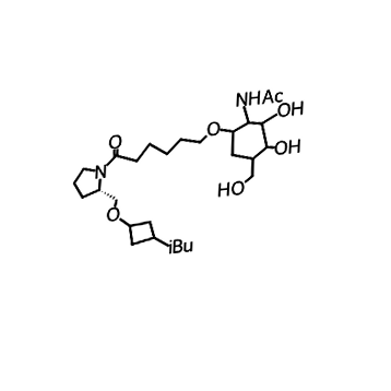 CCC(C)C1CC(OC[C@@H]2CCCN2C(=O)CCCCCOC2CC(CO)C(O)C(O)C2NC(C)=O)C1